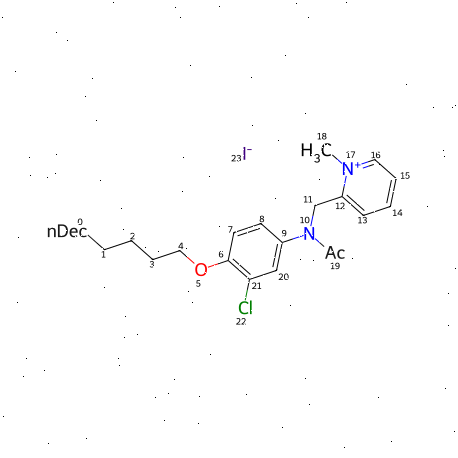 CCCCCCCCCCCCCCOc1ccc(N(Cc2cccc[n+]2C)C(C)=O)cc1Cl.[I-]